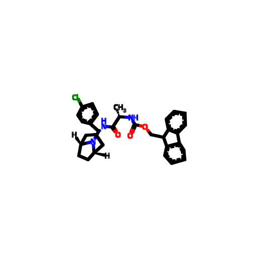 C[C@H](NC(=O)OCC1c2ccccc2-c2ccccc21)C(=O)N[C@H]1C[C@H]2CC[C@@H](C1)N2Cc1ccc(Cl)cc1